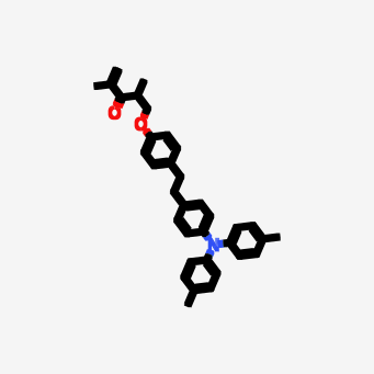 C=C(C)C(=O)C(C)COc1ccc(CCc2ccc(N(c3ccc(C)cc3)c3ccc(C)cc3)cc2)cc1